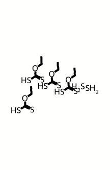 CCOC(=S)S.CCOC(=S)S.CCOC(=S)S.CCOC(=S)S.S.S